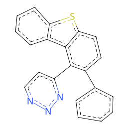 c1ccc(-c2ccc3sc4ccccc4c3c2-c2ccnnn2)cc1